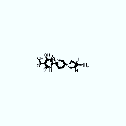 Cc1c(-c2ccc(N3C[C@@H]4C(N)[C@@H]4C3)cn2)[nH]c(=O)c(C(=O)O)c1O